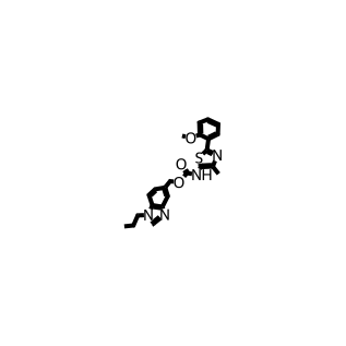 CCCn1cnc2cc(COC(=O)Nc3sc(-c4ccccc4OC)nc3C)ccc21